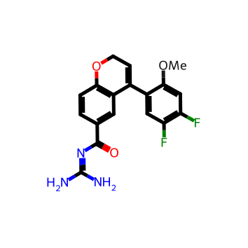 COc1cc(F)c(F)cc1C1=CCOc2ccc(C(=O)N=C(N)N)cc21